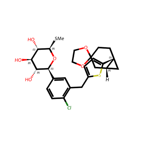 CS[C@H]1O[C@@H](c2ccc(Cl)c(Cc3ccc([C@]45CCC6(C[C@H]4C5)OCCO6)s3)c2)[C@H](O)[C@@H](O)[C@@H]1O